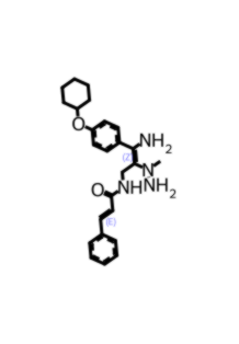 CN(N)/C(CNC(=O)/C=C/c1ccccc1)=C(\N)c1ccc(OC2CCCCC2)cc1